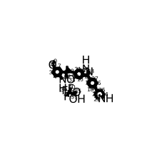 COc1ccc2c(c1)C1(CC1c1ccc3c(-c4ccc(C5CCNCC5)cc4)n[nH]c3c1)C(=O)N2.O=C(O)C(F)(F)F